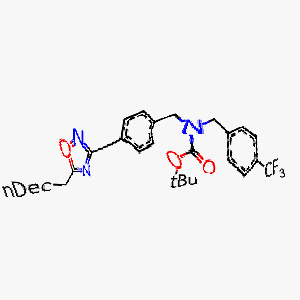 CCCCCCCCCCCc1nc(-c2ccc(CN(Cc3ccc(C(F)(F)F)cc3)C(=O)OC(C)(C)C)cc2)no1